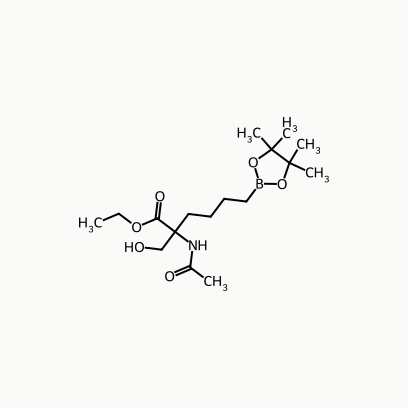 CCOC(=O)C(CO)(CCCCB1OC(C)(C)C(C)(C)O1)NC(C)=O